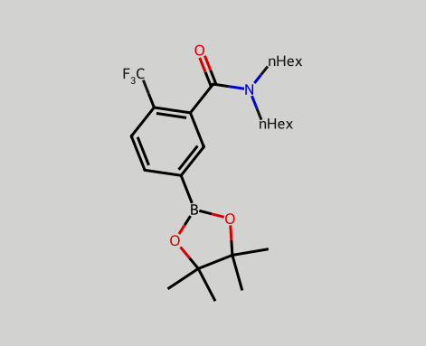 CCCCCCN(CCCCCC)C(=O)c1cc(B2OC(C)(C)C(C)(C)O2)ccc1C(F)(F)F